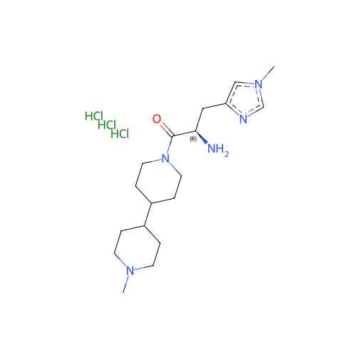 CN1CCC(C2CCN(C(=O)[C@H](N)Cc3cn(C)cn3)CC2)CC1.Cl.Cl.Cl